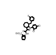 CCOC(=O)C1C2C=CC(C2)[C@H]1NC(=O)c1nn(-c2ccc(Cl)cc2Cl)c2c1CCCCC2Cc1cccc(F)c1